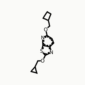 c1cc2nc(OCC3CC3)sc2nc1OCC1CCC1